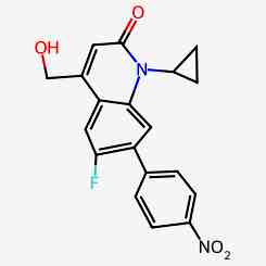 O=c1cc(CO)c2cc(F)c(-c3ccc([N+](=O)[O-])cc3)cc2n1C1CC1